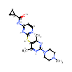 Cc1nc(N2CCN(C)CC2)nc(C)c1Sc1nccc(NC(=O)C2CC2)n1